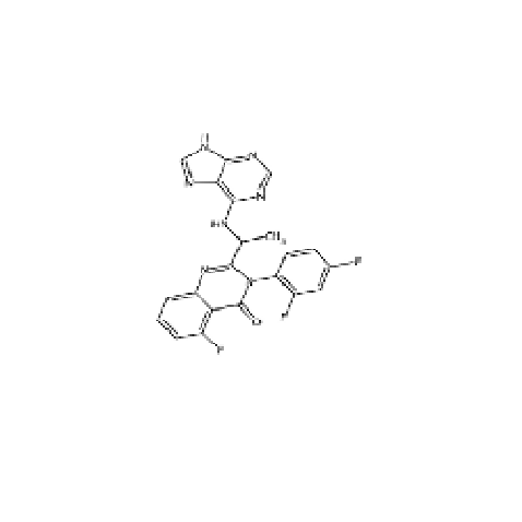 CC(Nc1ncnc2[nH]cnc12)c1nc2cccc(F)c2c(=O)n1-c1ccc(F)cc1F